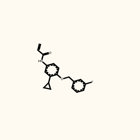 C=CC(=O)Nc1ccc(OCc2cccc(F)c2)c(C2CC2)c1